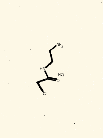 Cl.NCCNC(=O)CCl